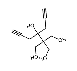 C#CCC(O)(CC#C)C(CO)(CO)CO